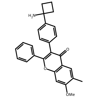 COc1cc2oc(-c3ccccc3)c(-c3ccc(C4(N)CCC4)cc3)c(=O)c2cc1C